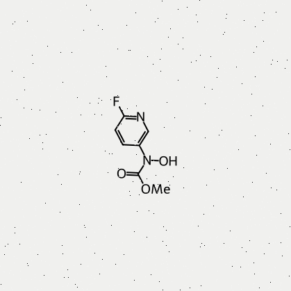 COC(=O)N(O)c1ccc(F)nc1